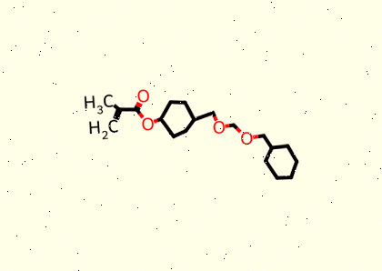 C=C(C)C(=O)OC1CCC(COCOCC2CCCCC2)CC1